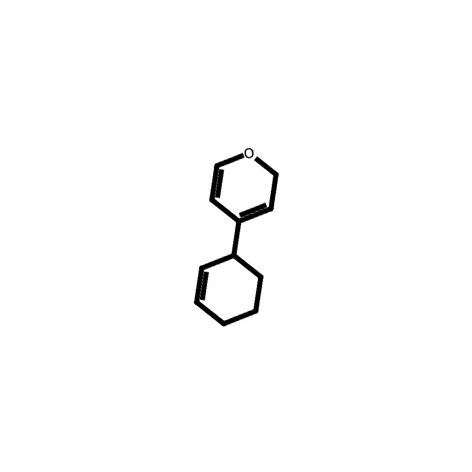 C1=CC(C2=CCOC=C2)CCC1